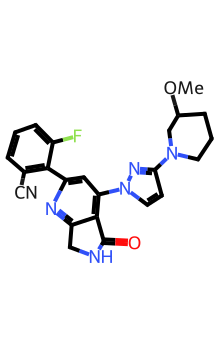 COC1CCCN(c2ccn(-c3cc(-c4c(F)cccc4C#N)nc4c3C(=O)NC4)n2)C1